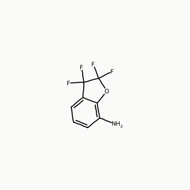 Nc1cccc2c1OC(F)(F)C2(F)F